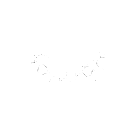 CCCc1cc(N2CCC(NCC(O)c3ccc(C(=O)N(C)C4CC4)cc3)CC2)nc2sc(C(N)=O)c(N)c12